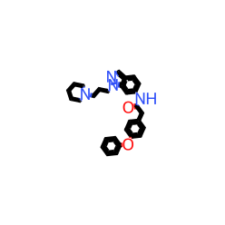 O=C(Cc1ccc(Oc2ccccc2)cc1)Nc1ccc2cnn(CCCN3CCCCC3)c2c1